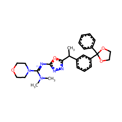 CC(c1cccc(C2(c3ccccc3)OCCO2)c1)c1nnc(/N=C(\N(C)C)N2CCOCC2)o1